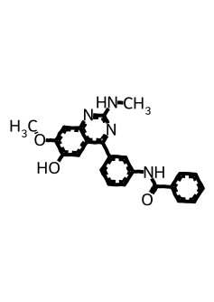 CNc1nc(-c2cccc(NC(=O)c3ccccc3)c2)c2cc(O)c(OC)cc2n1